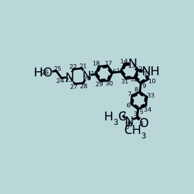 CN(C)C(=O)c1ccc(-c2c[nH]c3ncc(-c4ccc(N5CCN(CCO)CC5)cc4)cc23)cc1